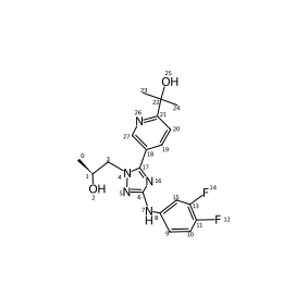 C[C@H](O)Cn1nc(Nc2ccc(F)c(F)c2)nc1-c1ccc(C(C)(C)O)nc1